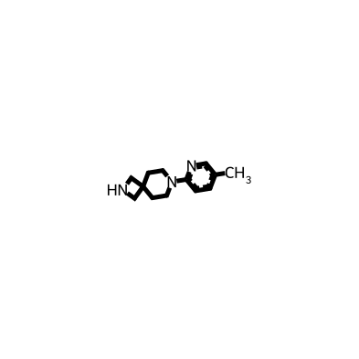 Cc1ccc(N2CCC3(CC2)CNC3)nc1